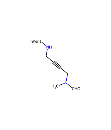 CCCCCNCC#CCN(C)C=O